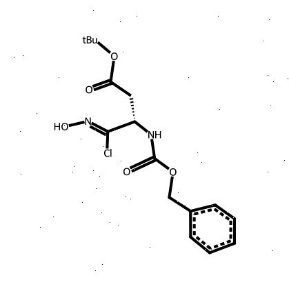 CC(C)(C)OC(=O)C[C@H](NC(=O)OCc1ccccc1)C(Cl)=NO